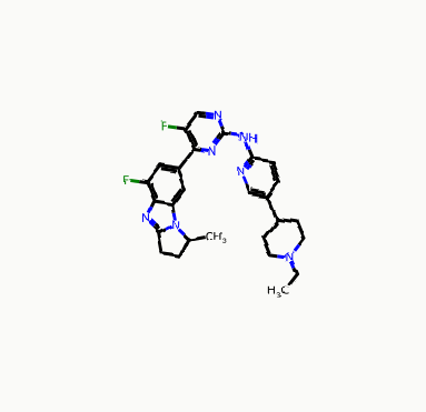 CCN1CCC(c2ccc(Nc3ncc(F)c(-c4cc(F)c5nc6n(c5c4)C(C)CC6)n3)nc2)CC1